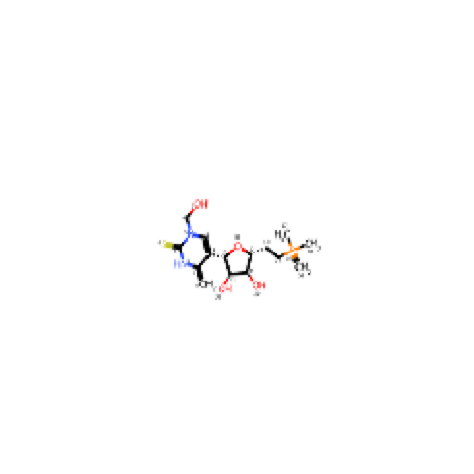 C=C1NC(=S)N(CO)C=C1[C@@H]1O[C@H](CCP(=C)(C)C)[C@@H](O)[C@H]1O